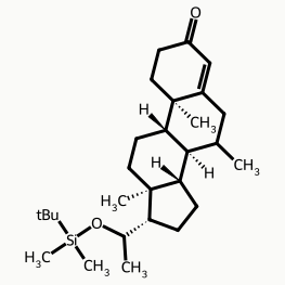 CC1CC2=CC(=O)CC[C@]2(C)[C@H]2CC[C@]3(C)[C@@H](C(C)O[Si](C)(C)C(C)(C)C)CC[C@H]3[C@H]12